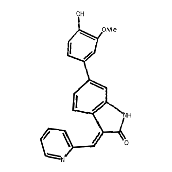 COc1cc(-c2ccc3c(c2)NC(=O)C3=Cc2ccccn2)ccc1O